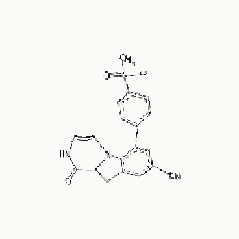 CS(=O)(=O)c1ccc(-c2cc(C#N)cc3c2N2C=CNC(=O)C2C3)cc1